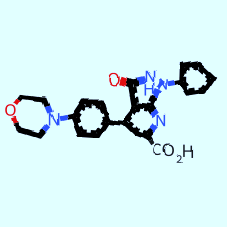 O=C(O)c1cc(-c2ccc(N3CCOCC3)cc2)c2c(=O)[nH]n(-c3ccccc3)c2n1